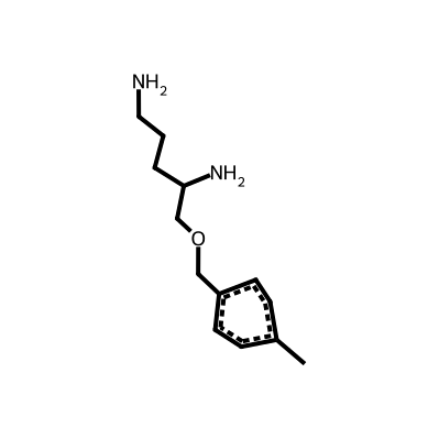 Cc1ccc(COCC(N)CCCN)cc1